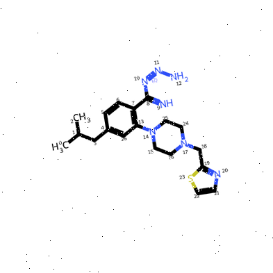 CC(C)Cc1ccc(C(=N)/N=N\N)c(N2CCN(Cc3nccs3)CC2)c1